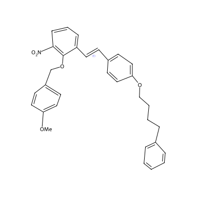 COc1ccc(COc2c(/C=C/c3ccc(OCCCCc4ccccc4)cc3)cccc2[N+](=O)[O-])cc1